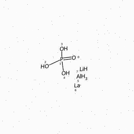 O=P(O)(O)O.[AlH3].[La].[LiH]